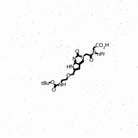 CCCN(CC(=O)O)C(=O)Cn1cc2cc(COCCNC(=O)OC(C)(C)C)[nH]c2nc1=O